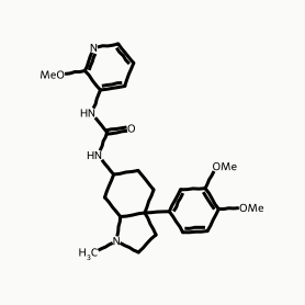 COc1ccc(C23CCC(NC(=O)Nc4cccnc4OC)CC2N(C)CC3)cc1OC